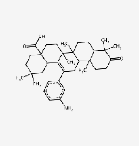 CC1(C)CCC2(C(=O)O)CCC3(C)C(=C(c4cccc(N)c4)CC4C5(C)CCC(=O)C(C)(C)C5CCC43C)C2C1